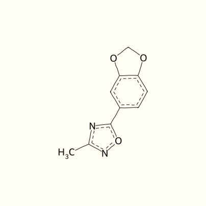 Cc1noc(-c2ccc3c(c2)OCO3)n1